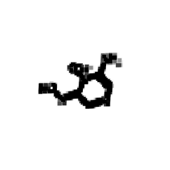 NC1=CN=CC(=NO)[NH+]1[O-]